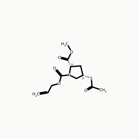 C=CCOC(=O)N1C[C@@H](SC(C)=O)C[C@H]1C(=O)OC